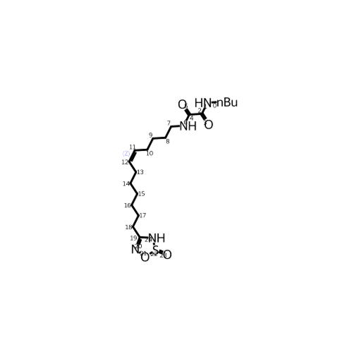 CCCCNC(=O)C(=O)NCCCC/C=C\CCCCCCC1=NOS(=O)N1